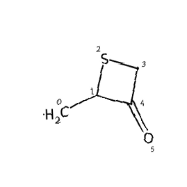 [CH2]C1SCC1=O